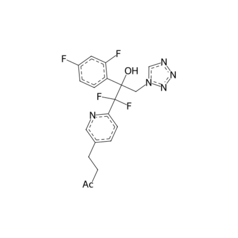 CC(=O)CCc1ccc(C(F)(F)C(O)(Cn2cnnn2)c2ccc(F)cc2F)nc1